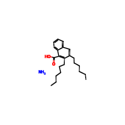 CCCCCCc1cc2ccccc2c(C(=O)O)c1CCCCCC.N